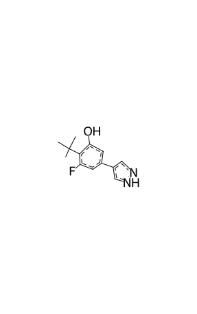 CC(C)(C)c1c(O)cc(-c2cn[nH]c2)cc1F